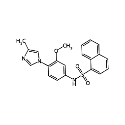 COc1cc(NS(=O)(=O)c2cccc3ccccc23)ccc1-n1cnc(C)c1